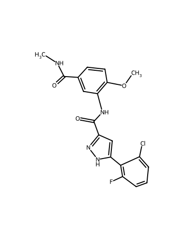 CNC(=O)c1ccc(OC)c(NC(=O)c2cc(-c3c(F)cccc3Cl)[nH]n2)c1